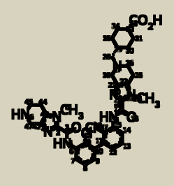 Cn1c(C(=O)Nc2cccc(-c3cccc(NC(=O)c4nc5c(n4C)CCN(C[C@H]4CC[C@@H](C(=O)O)CC4)C5)c3Cl)c2Cl)nc2c1CCNC2